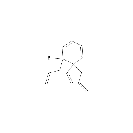 C=CCC1(Br)C=CC=CC1(C=C)CC=C